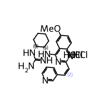 COc1ccc2nc(/C=C\c3cccnc3)nc(N[C@H]3CCCC[C@H]3NC(=N)N)c2c1.Cl.Cl.Cl